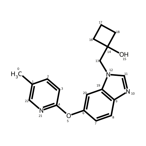 Cc1ccc(Oc2ccc3ncn(CC4(O)CCC4)c3c2)nc1